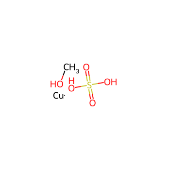 CO.O=S(=O)(O)O.[Cu]